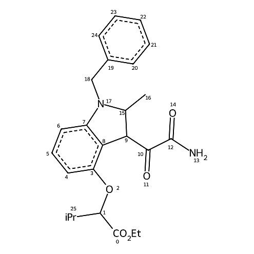 CCOC(=O)C(Oc1cccc2c1C(C(=O)C(N)=O)C(C)N2Cc1ccccc1)C(C)C